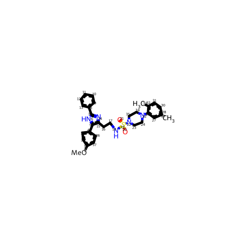 COc1ccc(-c2[nH]c(-c3ccccc3)nc2CCNS(=O)(=O)N2CCN(c3cc(C)ccc3C)CC2)cc1